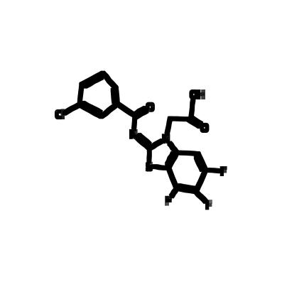 O=C(O)Cn1c(=NC(=O)c2cccc(Cl)c2)sc2c(F)c(F)c(F)cc21